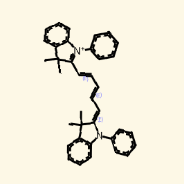 CC1(C)C(/C=C/C=C/C=C2/N(c3ccccc3)c3ccccc3C2(C)C)=[N+](c2ccccc2)c2ccccc21